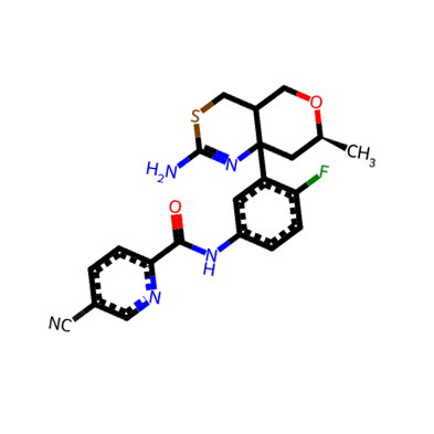 C[C@H]1CC2(c3cc(NC(=O)c4ccc(C#N)cn4)ccc3F)N=C(N)SCC2CO1